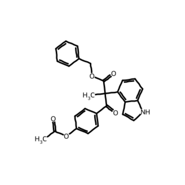 CC(=O)Oc1ccc(C(=O)C(C)(C(=O)OCc2ccccc2)c2cccc3[nH]ccc23)cc1